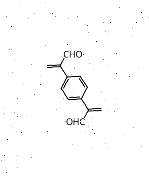 C=C([C]=O)c1ccc(C(=C)[C]=O)cc1